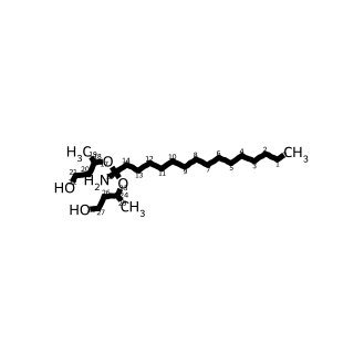 CCCCCCCCCCCCCCCC(N)(OC(C)CCO)OC(C)CCO